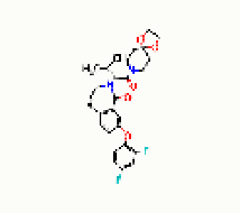 CC(C)[C@H](C(=O)N1CCC2(CC1)OCCO2)N1CC=Cc2ccc(Oc3ccc(F)cc3F)cc2C1=O